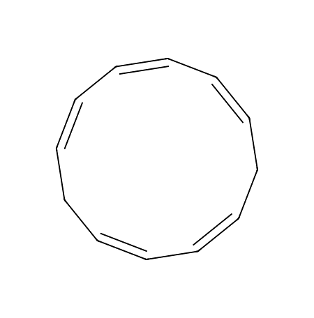 C1=CC=CCC=CC=CCC=C1